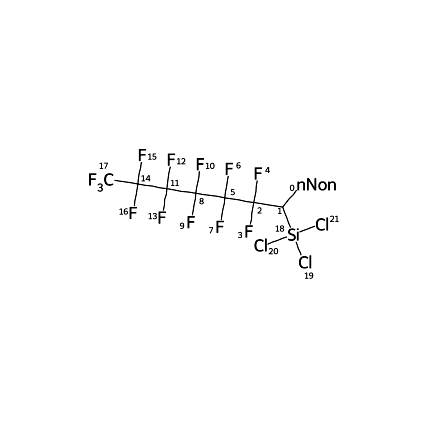 CCCCCCCCCC(C(F)(F)C(F)(F)C(F)(F)C(F)(F)C(F)(F)C(F)(F)F)[Si](Cl)(Cl)Cl